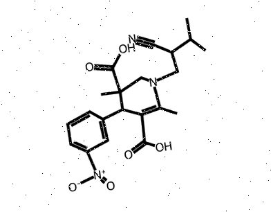 CC1=C(C(=O)O)C(c2cccc([N+](=O)[O-])c2)C(C)(C(=O)O)CN1CC(C#N)C(C)C